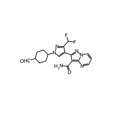 NC(=O)c1c(-c2cn(C3CCC(C=O)CC3)nc2C(F)F)nn2cccnc12